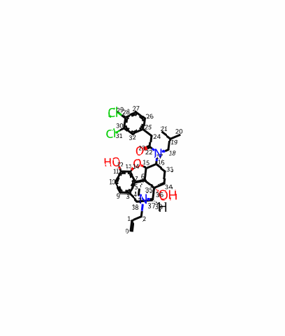 C=CCN1CC[C@]23c4c5ccc(O)c4OC2C(N(CC(C)C)C(=O)Cc2ccc(Cl)c(Cl)c2)CC[C@@]3(O)[C@H]1C5